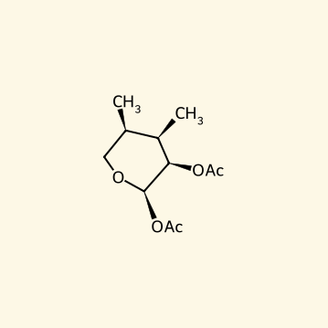 CC(=O)O[C@H]1OC[C@@H](C)[C@@H](C)[C@H]1OC(C)=O